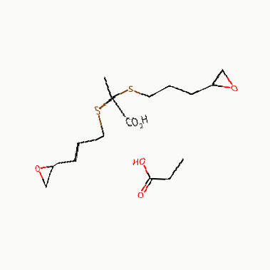 CC(SCCCC1CO1)(SCCCC1CO1)C(=O)O.CCC(=O)O